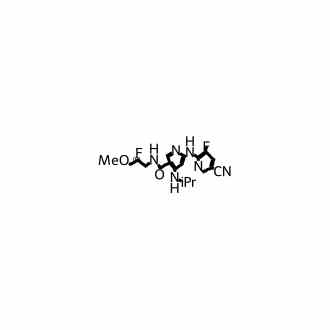 COC[C@H](F)CNC(=O)c1cnc(Nc2ncc(C#N)cc2F)cc1NC(C)C